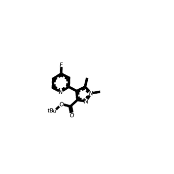 Cc1c(-c2cc(F)ccn2)c(C(=O)OC(C)(C)C)nn1C